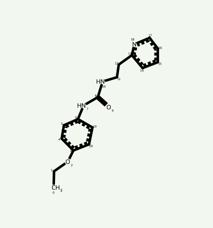 CCOc1ccc(NC(=O)NCCc2ccccn2)cc1